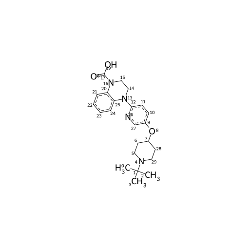 CC(C)(C)N1CCC(Oc2ccc(N3CCN(C(=O)O)c4ccccc43)nc2)CC1